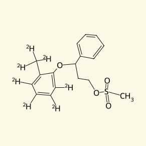 [2H]c1c([2H])c([2H])c(C([2H])([2H])[2H])c(OC(CCOS(C)(=O)=O)c2ccccc2)c1[2H]